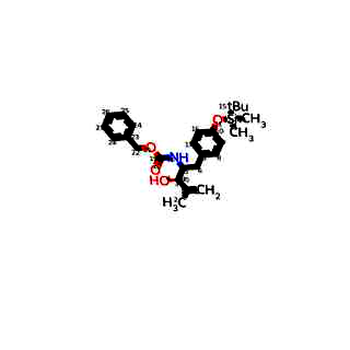 C=C(C)[C@@H](O)C(Cc1ccc(O[Si](C)(C)C(C)(C)C)cc1)NC(=O)OCc1ccccc1